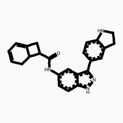 O=C(Nc1ccc2[nH]nc(-c3ccc4c(c3)CCN4)c2c1)C1CC2=CC=CCC21